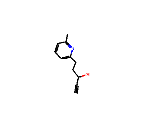 C#CC(O)CCc1cccc(C)n1